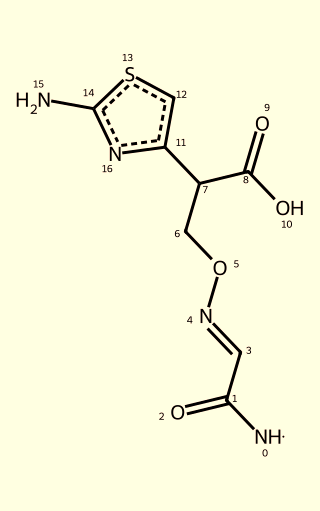 [NH]C(=O)C=NOCC(C(=O)O)c1csc(N)n1